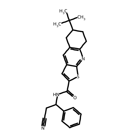 CC(C)(C)C1CCc2nc3sc(C(=O)NC(CC#N)c4ccccc4)cc3cc2C1